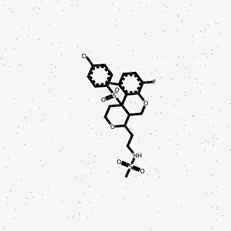 CS(=O)(=O)NCCC1OCCC2(S(=O)(=O)c3ccc(Cl)cc3)c3c(F)ccc(F)c3OCC12